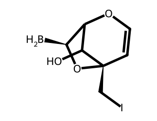 B[C@@H]1O[C@@]2(CI)C=COC1C2O